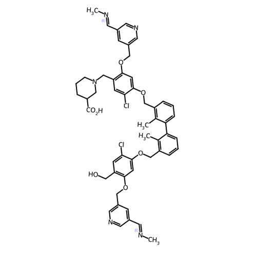 C/N=C/c1cncc(COc2cc(OCc3cccc(-c4cccc(COc5cc(OCc6cncc(/C=N/C)c6)c(CN6CCCC(C(=O)O)C6)cc5Cl)c4C)c3C)c(Cl)cc2CO)c1